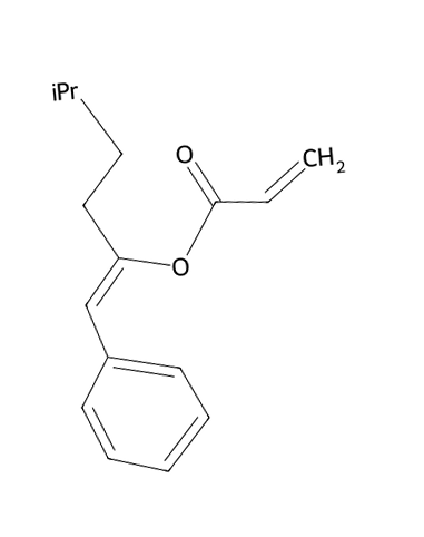 C=CC(=O)OC(=Cc1ccccc1)CCC(C)C